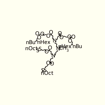 CCCCCCCCSSCCOC(=O)CCN(CCCN(C)CCCN(CCC(=O)OCCOC(=O)OCC(CCCC)CCCCCC)CCC(=O)OCCOC(=O)OCC(CCCC)CCCCCC)CCC(=O)OCCSSCCCCCCCC